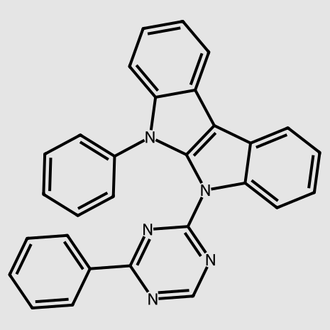 c1ccc(-c2ncnc(-n3c4ccccc4c4c5ccccc5n(-c5ccccc5)c43)n2)cc1